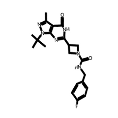 Cc1nn(C(C)(C)C)c2nc(C3CN(C(=O)NCc4ccc(F)cc4)C3)[nH]c(=O)c12